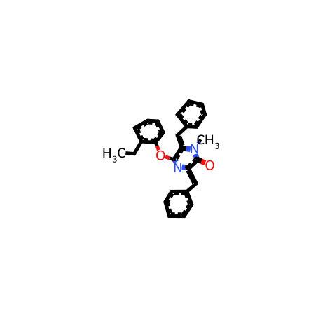 CCc1ccccc1Oc1n/c(=C\c2ccccc2)c(=O)n(C)/c1=C\c1ccccc1